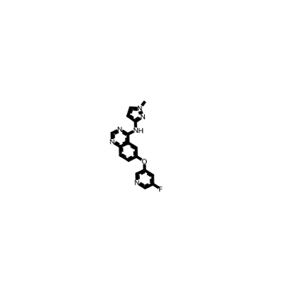 Cn1ccc(Nc2ncnc3ccc(Oc4cncc(F)c4)cc23)n1